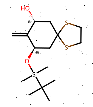 C=C1[C@H](O)CC2(C[C@H]1O[Si](C)(C)C(C)(C)C)SCCS2